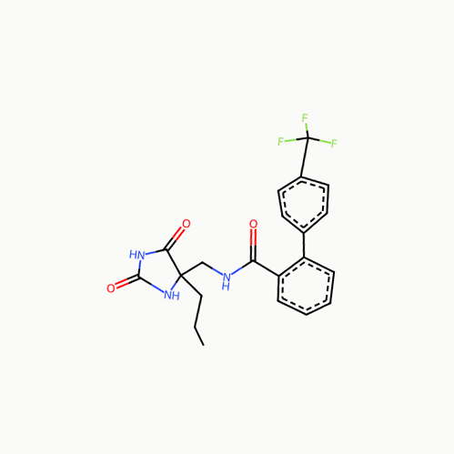 CCCC1(CNC(=O)c2ccccc2-c2ccc(C(F)(F)F)cc2)NC(=O)NC1=O